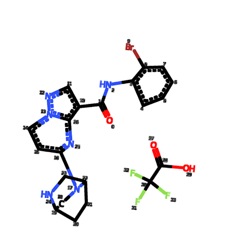 O=C(Nc1ccccc1Br)c1cnn2ccc(N3CC4CCC3CN4)nc12.O=C(O)C(F)(F)F